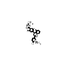 CCNC(=O)c1ccc(C(CC(=O)c2ccc(=O)n(C)c2)c2ccccc2Cl)cc1F